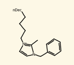 CCCCCCCCCCCCCC[n+]1ccn(Cc2ccccc2)c1C